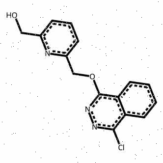 OCc1cccc(COc2nnc(Cl)c3ccccc23)n1